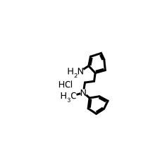 CN(CCc1ccccc1N)c1ccccc1.Cl